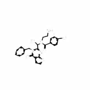 CCC(c1nc2sccc2c(=O)n1Cc1ccccc1)N(CCN)C(=O)c1ccc(Cl)cc1